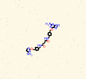 Nc1ccnc(OCc2ccc(CNC(=O)CCCC(=O)NCc3ccc(COc4nc(N)nc5[nH]cnc45)cc3)cc2)n1